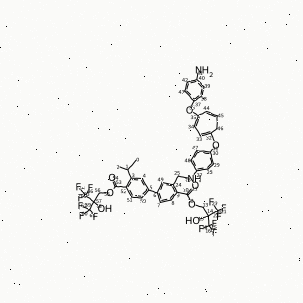 CC(C)c1cc(-c2ccc(C(=O)OCC(O)(C(F)(F)F)C(F)(F)F)c(CNc3ccc(OC4=CC=C(Oc5ccc(N)cc5)C=CC4)cc3)c2)ccc1C(=O)OCC(O)(C(F)(F)F)C(F)(F)F